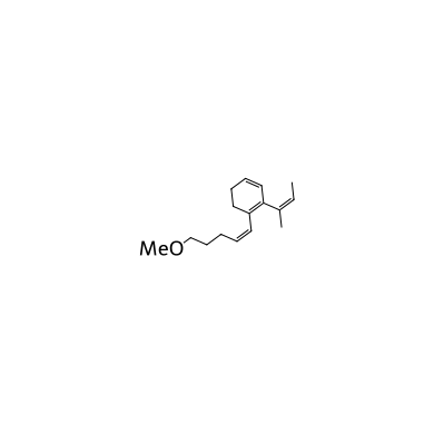 C/C=C(/C)C1=C(/C=C\CCCOC)CCC=C1